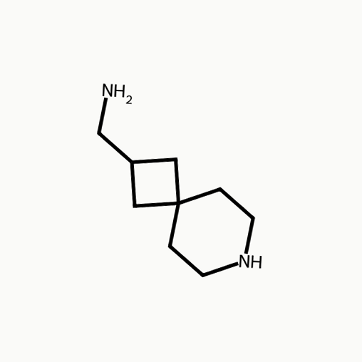 NCC1CC2(CCNCC2)C1